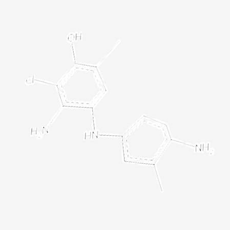 Cc1cc(Nc2cc(C)c(O)c(Cl)c2N)ccc1N